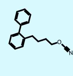 N#COCCCCc1ccccc1-c1ccccc1